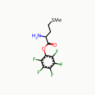 CSCCC(N)C(=O)Oc1c(F)c(F)c(F)c(F)c1F